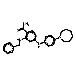 NC(=O)c1cnc(Nc2ccc(N3CCCCCC3)cc2)cc1NCc1ccccc1